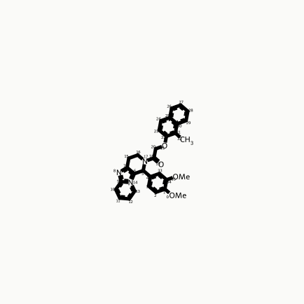 COc1ccc(C2c3c(nc4ccccn34)CCN2C(=O)COc2ccc3ccccc3c2C)cc1OC